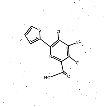 Nc1c(Cl)c(C(=O)O)nc(-c2cccs2)c1Cl